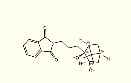 CC1(C)[C@@H]2C[C@@H](O)[C@](O)(CCCN3C(=O)c4ccccc4C3=O)[C@H]1C2